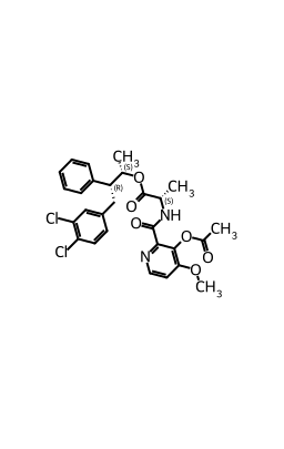 COc1ccnc(C(=O)N[C@@H](C)C(=O)O[C@@H](C)[C@H](Cc2ccc(Cl)c(Cl)c2)c2ccccc2)c1OC(C)=O